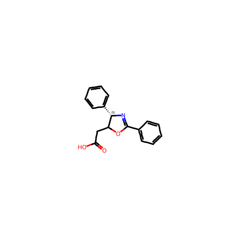 O=C(O)CC1OC(c2ccccc2)=N[C@H]1c1ccccc1